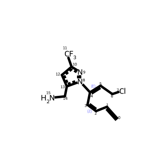 C=C/C=C\C(=C/CCl)n1nc(C(F)(F)F)cc1CN